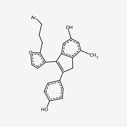 CC(=O)CCCc1occc1C1=C(c2ccc(O)cc2)Cc2c(C)cc(O)cc21